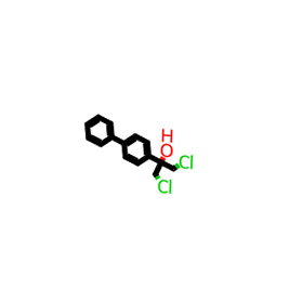 OC(CCl)(CCl)c1ccc(-c2ccccc2)cc1